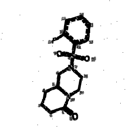 O=C1CCCC2CN(S(=O)(=O)c3ccccc3F)CCN12